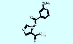 COc1cccc(C(=O)On2cncc2C(N)=O)c1